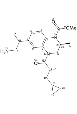 COC(=O)N1c2ccc(C(C)CN)cc2N(C(=O)OCC2CC2)C[C@@H]1C